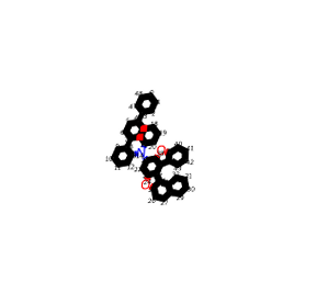 c1ccc(-c2ccc(-c3ccccc3N(c3ccccc3)c3cc4oc5ccc6ccccc6c5c4c4c3oc3ccccc34)cc2)cc1